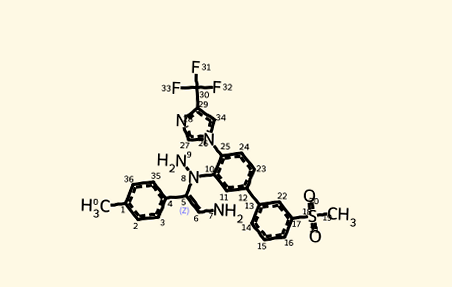 Cc1ccc(/C(=C/N)N(N)c2cc(-c3cccc(S(C)(=O)=O)c3)ccc2-n2cnc(C(F)(F)F)c2)cc1